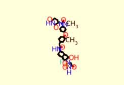 Cc1cc(CC(=O)Nc2ccc3c(F)c(N4CC(=O)NS4(=O)=O)c(O)cc3c2)ccc1Oc1ccc2c(c1)n(C)c(=O)n2C1CCC(=O)NC1=O